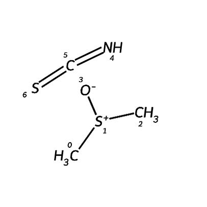 C[S+](C)[O-].N=C=S